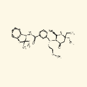 CCC1(CC)CC(=O)N([C@H](CCOC)c2cccc(C(=O)N[C@@H]3c4ccccc4OC3(C)C)c2)C(=N)N1